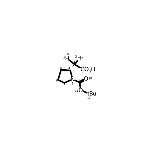 [2H]C([2H])(C(=O)O)[C@H]1CCCN1C(=O)OC(C)(C)C